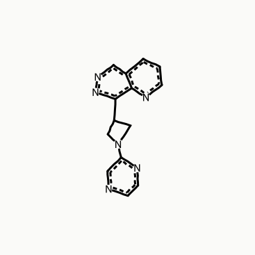 c1cnc2c(C3CN(c4cnccn4)C3)nncc2c1